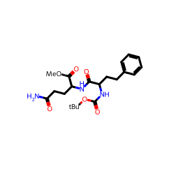 COC(=O)C(CCC(N)=O)NC(=O)C(CCc1ccccc1)NC(=O)OC(C)(C)C